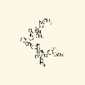 COc1cc(Oc2ncn(CC3(O)CCN(C(=O)[C@@H]4CCN(C(=O)c5sc(-c6ccc(C)nc6)nc5C)C[C@H]4c4ccccc4)CC3)c(=O)c2N)ccc1F